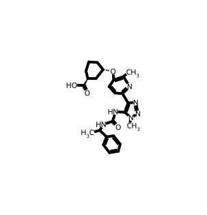 Cc1nc(-c2nnn(C)c2NC(=O)NC(C)c2ccccc2)ccc1O[C@H]1CCC[C@H](C(=O)O)C1